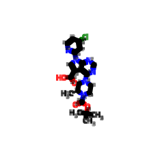 C[C@@H]1CN(c2ncnc3c2c(C(=O)O)cn3-c2cc(Cl)ccn2)CCN1C(=O)OC(C)(C)C